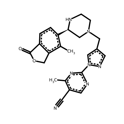 Cc1nc(-n2cc(CN3CCN[C@H](c4ccc5c(c4C)COC5=O)C3)cn2)ncc1C#N